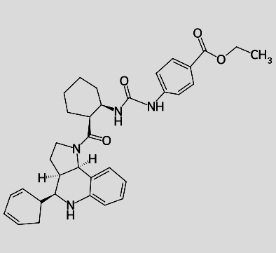 CCOC(=O)c1ccc(NC(=O)N[C@@H]2CCCC[C@@H]2C(=O)N2CC[C@@H]3[C@H](C4C=CC=CC4)Nc4ccccc4[C@@H]32)cc1